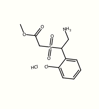 COC(=O)CS(=O)(=O)C(CN)c1ccccc1Cl.Cl